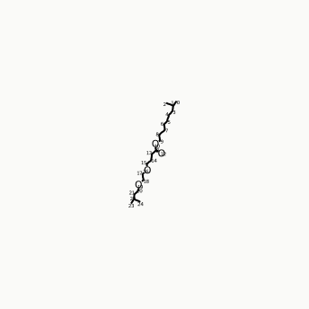 CC(C)CCCCCCCOC(=O)CCCOCCOCCC(C)C